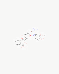 N=C1S/C(=C/c2ccc(-c3ccccc3C(=O)O)o2)C(=O)N1c1ccc2c(c1)OCO2